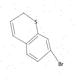 Brc1ccc2c(c1)SCC=C2